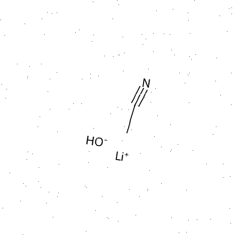 CC#N.[Li+].[OH-]